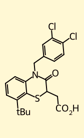 CC(C)(C)c1cccc2c1SC(CC(=O)O)C(=O)N2Cc1ccc(Cl)c(Cl)c1